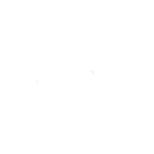 O=P(O)(O)CCCCN(c1ccccc1)c1ccccc1